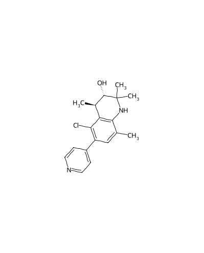 Cc1cc(-c2ccncc2)c(Cl)c2c1NC(C)(C)[C@@H](O)[C@@H]2C